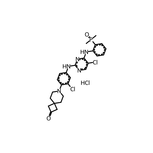 CP(C)(=O)c1ccccc1Nc1nc(Nc2ccc(N3CCC4(CC3)CC(=O)C4)c(Cl)c2)ncc1Cl.Cl